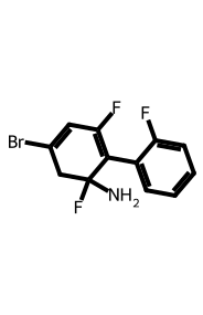 NC1(F)CC(Br)=CC(F)=C1c1ccccc1F